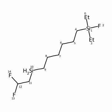 CC[Si](F)(CC)CCCCCC[SiH2]CC(F)F